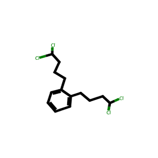 ClC(Cl)CCCc1ccccc1CCCC(Cl)Cl